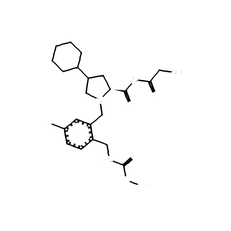 CC(C)(C)OC(=O)NCc1ccc(Cl)cc1CN1CC(C2CCCCC2)C[C@H]1C(=O)NC(=O)CN